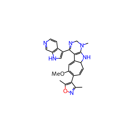 COC1=C(c2c(C)noc2C)C=CC2NC3=C(C2=C1)C(c1c[nH]c2cnccc12)=NCN3C